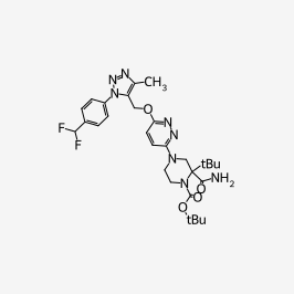 Cc1nnn(-c2ccc(C(F)F)cc2)c1COc1ccc(N2CCN(C(=O)OC(C)(C)C)C(C(N)=O)(C(C)(C)C)C2)nn1